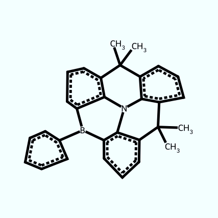 CC1(C)c2cccc3c2N2c4c(cccc4C(C)(C)c4cccc1c42)B3c1ccccc1